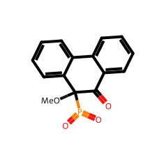 COC1(P(=O)=O)C(=O)c2ccccc2-c2ccccc21